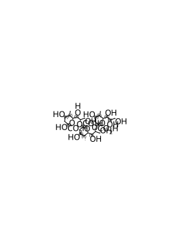 C[C@H]1C([C@H](O)C(CO)O[C@]2(C(=O)O)C[C@@H](O)[C@@H](C)C([C@H](O)C(CO)O[C@]3(C(=O)O)C[C@@H](O)[C@@H](C)C([C@H](O)[C@H](O)CO)O3)O2)O[C@@](O)(C(=O)O)C[C@H]1O